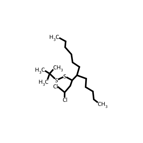 CCCCCCC(CCCCC)C(CC(Cl)Cl)SSC(C)(C)C